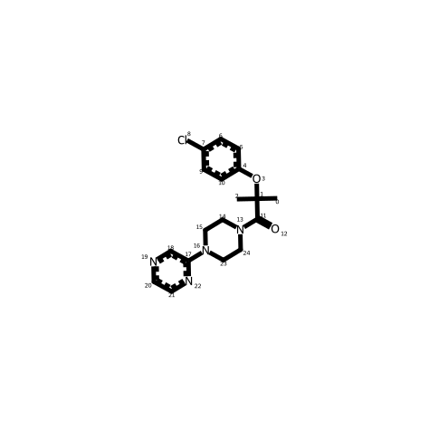 CC(C)(Oc1ccc(Cl)cc1)C(=O)N1CCN(c2cnccn2)CC1